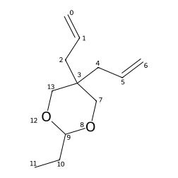 C=CCC1(CC=C)COC(CC)OC1